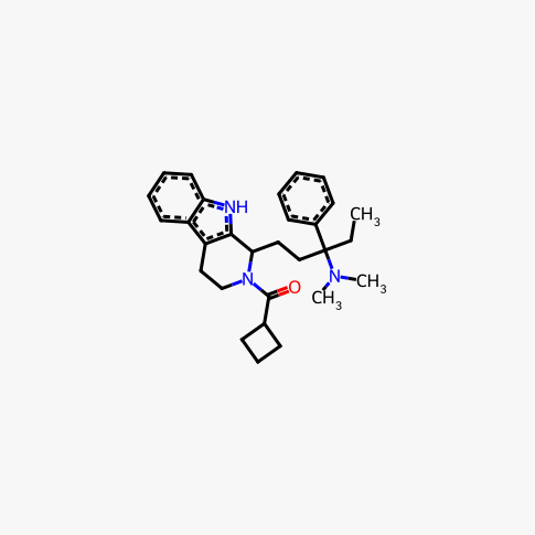 CCC(CCC1c2[nH]c3ccccc3c2CCN1C(=O)C1CCC1)(c1ccccc1)N(C)C